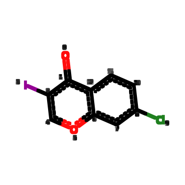 O=c1c(I)coc2cc(Cl)ccc12